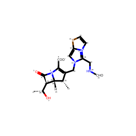 C[C@@H](O)[C@H]1C(=O)N2C(C(=O)[O-])=C(Cn3cc4scc[n+]4c3CNC=O)[C@H](C)[C@H]12